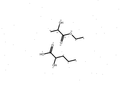 CCCC(O)C(=O)O.CCOC(=O)C(C)O